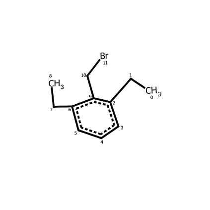 CCc1cccc(CC)c1CBr